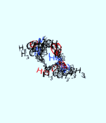 CCn1c(-c2cccnc2[C@H](C)OC)c2c3cc(ccc31)-c1cc(O)cc(c1)C[C@H](NC(=O)C(C(C)C)N(C)C(=O)[C@H]1C[C@H]1C)C(=O)N1CCC[C@H](N1)C(=O)OCC(C)(C)C2